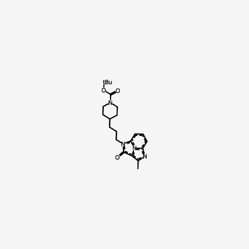 Cc1nc2cccc3n(CCCC4CCN(C(=O)OC(C)(C)C)CC4)c(=O)c1n23